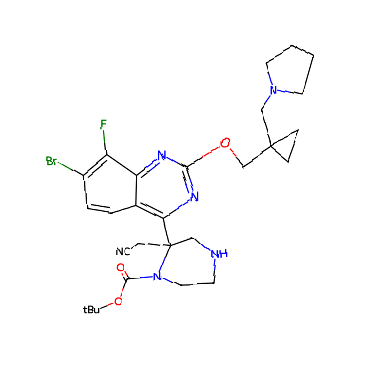 CC(C)(C)OC(=O)N1CCNCC1(CC#N)c1nc(OCC2(CN3CCCC3)CC2)nc2c(F)c(Br)ccc12